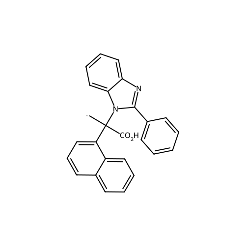 [CH2]C(C(=O)O)(c1cccc2ccccc12)n1c(-c2ccccc2)nc2ccccc21